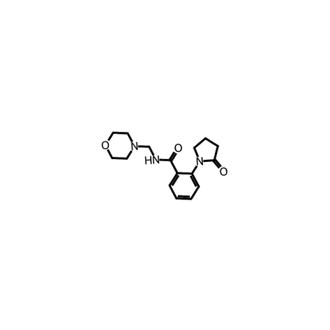 O=C(NCN1CCOCC1)c1ccccc1N1CCCC1=O